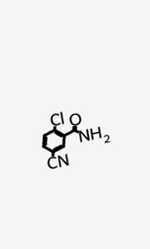 N#Cc1ccc(Cl)c(C(N)=O)c1